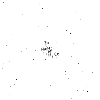 [AlH3].[Ce].[MgH2].[Zn]